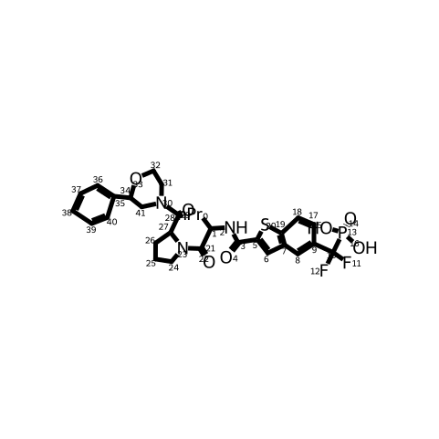 CCCC(NC(=O)c1cc2cc(C(F)(F)P(=O)(O)O)ccc2s1)C(=O)N1CCCC1C(=O)N1CCOC(c2ccccc2)C1